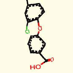 Cc1ccc(Oc2cccc(C(=O)O)c2)c(Cl)c1